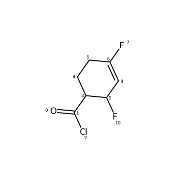 O=C(Cl)C1CCC(F)=CC1F